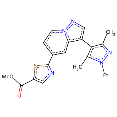 CCn1nc(C)c(-c2cnn3ccc(-c4ncc(C(=O)OC)s4)cc23)c1C